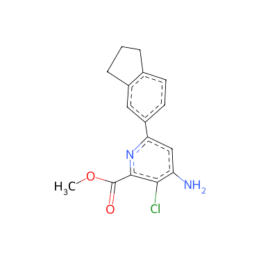 COC(=O)c1nc(-c2ccc3c(c2)CCC3)cc(N)c1Cl